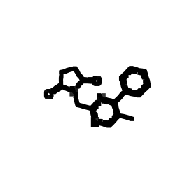 Cc1cnc(CN2C(=O)CCC2=O)nc1-c1ccccc1